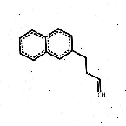 [CH]=CCCc1ccc2ccccc2c1